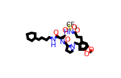 O=C(CCc1cc2c(cc1CN1CCCC1c1nc(C(=O)NCCCCC3CCCCC3)co1)OCO2)NS(=O)(=O)C(F)(F)F